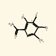 CCc1c(C)cc(C(N)=O)c(CC)c1F